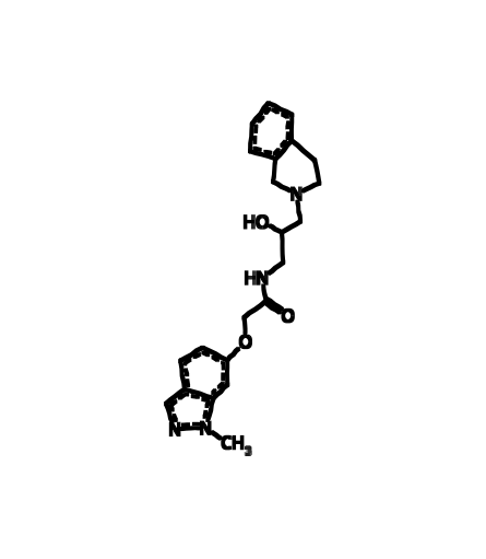 Cn1ncc2ccc(OCC(=O)NCC(O)CN3CCc4ccccc4C3)cc21